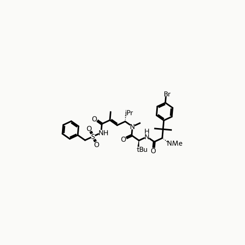 CN[C@H](C(=O)N[C@H](C(=O)N(C)[C@H](C=C(C)C(=O)NS(=O)(=O)Cc1ccccc1)C(C)C)C(C)(C)C)C(C)(C)c1ccc(Br)cc1